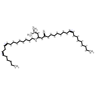 CCCCC/C=C\C/C=C\CCCCCCCCOC(CC(=O)CCCCCCC/C=C\CCCCCCCC)CN(C)C